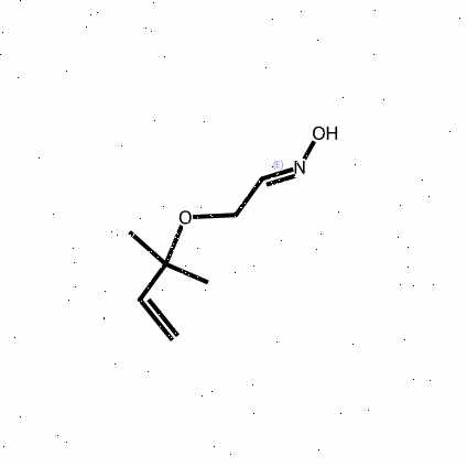 C=CC(C)(C)OC/C=N/O